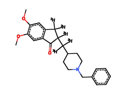 [2H]C1([2H])c2cc(OC)c(OC)cc2C(=O)C1([2H])C([2H])([2H])C1CCN(Cc2ccccc2)CC1